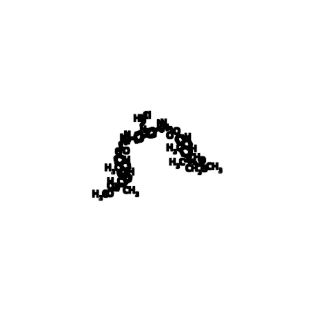 COC(=O)CC[C@@H](C)C(C)C1(C)CCC2[C@@H](CC[C@H]3C[C@H](OC(=O)Cn4cc(-c5ccc6c7ccc(-c8cn(CC(=O)O[C@@H]9CCC%10(C)C%11CCC%12(C)C([C@H](C)CCC(=O)OC)CC[C@H]%12[C@@H]%11CC[C@@H]%10C9)nn8)cc7n(CCNCl)c6c5)nn4)CCC23C)C1